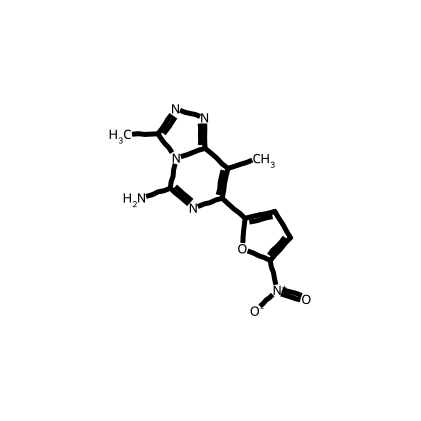 Cc1c(-c2ccc([N+](=O)[O-])o2)nc(N)n2c(C)nnc12